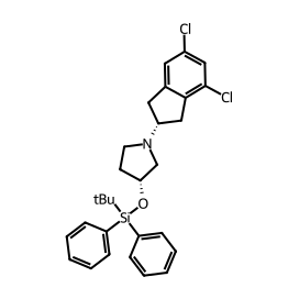 CC(C)(C)[Si](O[C@@H]1CCN([C@@H]2Cc3cc(Cl)cc(Cl)c3C2)C1)(c1ccccc1)c1ccccc1